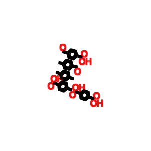 Cc1ccc(C(=O)O)cc1.Cc1ccc(C)cc1.Cc1ccc(C=O)cc1.O=C(O)c1ccc(C(=O)O)cc1.O=Cc1ccc(C(=O)O)cc1